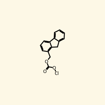 O=C(OCl)OCc1cccc2c1Cc1ccccc1-2